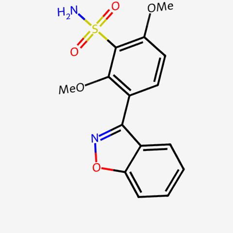 COc1ccc(-c2noc3ccccc23)c(OC)c1S(N)(=O)=O